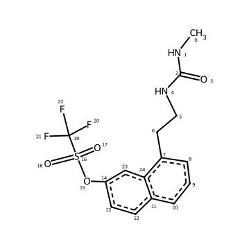 CNC(=O)NCCc1cccc2ccc(OS(=O)(=O)C(F)(F)F)cc12